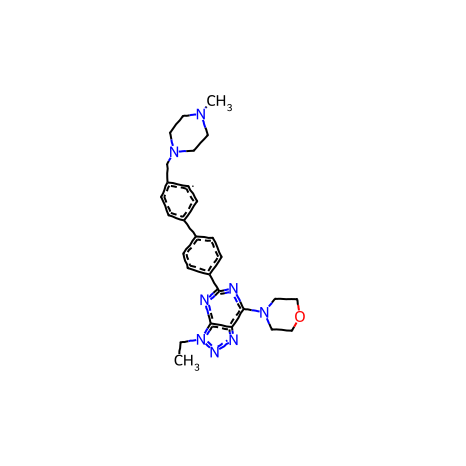 CCn1nnc2c(N3CCOCC3)nc(-c3ccc(-c4c[c]c(CN5CCN(C)CC5)cc4)cc3)nc21